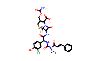 CN(C(=O)C=Cc1ccccc1)C(=O)NC(C(=O)NC1C(=O)N2C(C(=O)O)=C(COC(N)=O)CS[C@@H]12)c1ccc(O)c(Cl)c1